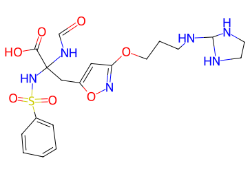 O=CNC(Cc1cc(OCCCNC2NCCN2)no1)(NS(=O)(=O)c1ccccc1)C(=O)O